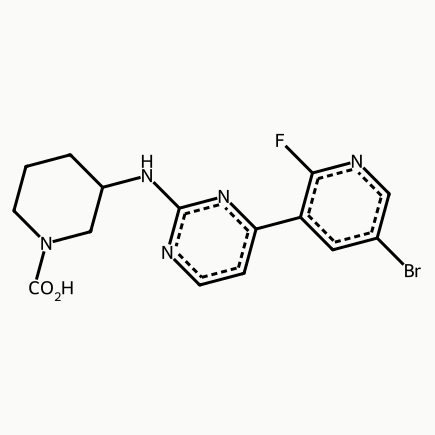 O=C(O)N1CCCC(Nc2nccc(-c3cc(Br)cnc3F)n2)C1